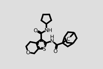 O=C(NC1CCCC1)c1c(NC(=O)C23CC4CC(CC2C4)C3)sc2c1CCOC2